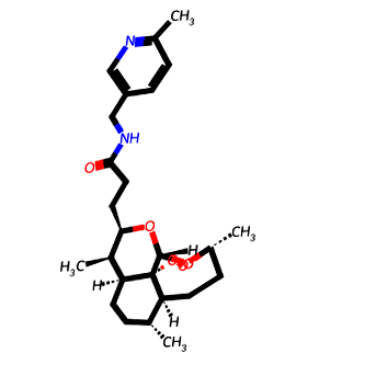 Cc1ccc(CNC(=O)CC[C@H]2O[C@@H]3O[C@]4(C)CC[C@H]5[C@H](C)CC[C@@H]([C@H]2C)[C@@]35OO4)cn1